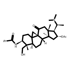 CC(=O)O[C@@H]1C[C@@]2(C)[C@@H]3CC[C@@H]4C5(CC[C@H](NC(=O)C(C)C)[C@@]4(C)CO)C[C@@]35C(=O)C[C@]2(C)[C@H]1[C@H](C)N(C)C